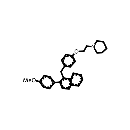 COc1ccc(-c2ccc3ccccc3c2Cc2ccc(OCCN3CCCCC3)cc2)cc1